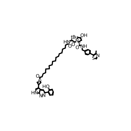 Cc1ncsc1-c1ccc(CNC(=O)[C@@H]2C[C@@H](O)CN2C(=O)[C@@H](NC(=O)CCCCCCCCCCCCCCCCC(=O)N2CC(c3c[nH]c4nnc(-c5ccccc5O)cc34)C2)C(C)(C)C)cc1